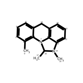 Cc1cccc2c1N1c3c(cccc3N(C)C1C)C2